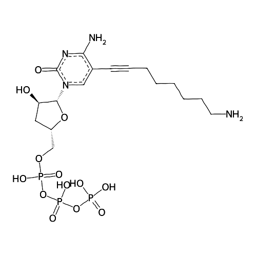 NCCCCCCC#Cc1cn([C@@H]2O[C@H](COP(=O)(O)OP(=O)(O)OP(=O)(O)O)C[C@H]2O)c(=O)nc1N